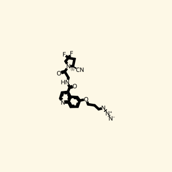 N#C[C@@H]1CC(F)(F)CN1C(=O)CNC(=O)c1ccnc2ccc(OCCCN=[N+]=[N-])cc12